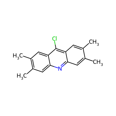 Cc1cc2nc3cc(C)c(C)cc3c(Cl)c2cc1C